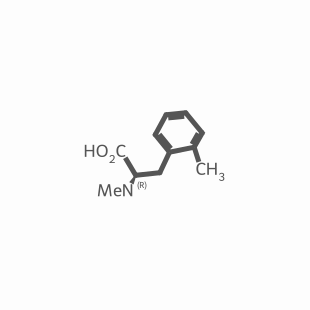 CN[C@H](Cc1ccccc1C)C(=O)O